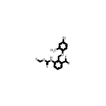 CCc1ccc(OCc2c(NC(=S)OCF)cccc2C(F)F)c(C)c1